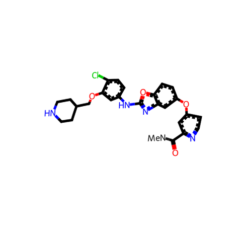 CNC(=O)c1cc(Oc2ccc3oc(Nc4ccc(Cl)c(OCC5CCNCC5)c4)nc3c2)ccn1